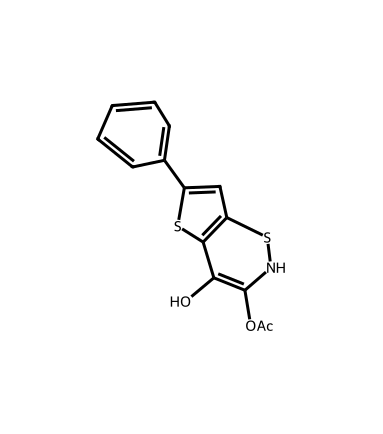 CC(=O)OC1=C(O)c2sc(-c3ccccc3)cc2SN1